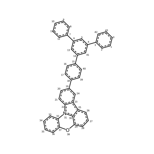 c1ccc(-c2cc(-c3ccccc3)cc(-c3ccc(-c4ccc5c(c4)c4cccc6c4n5-c4ccccc4O6)cc3)c2)cc1